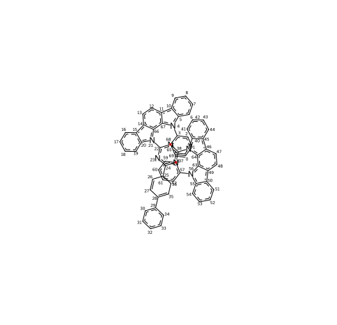 c1ccc(-n2c3ccccc3c3ccc4c5ccccc5n(-c5nc(C6C=CC(c7ccccc7)=CC6)nc(-n6c7ccccc7c7ccc8c9ccccc9n(-c9ccccc9)c8c76)n5)c4c32)cc#1